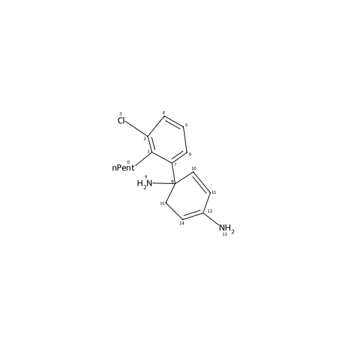 CCCCCc1c(Cl)cccc1C1(N)C=CC(N)=CC1